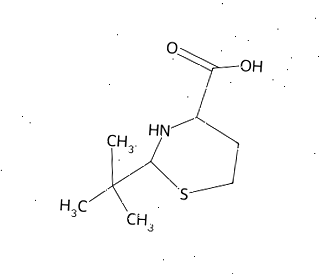 CC(C)(C)C1NC(C(=O)O)CCS1